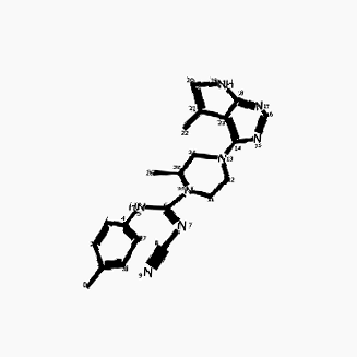 Cc1ccc(N/C(=N\C#N)N2CCN(c3ncnc4[nH]cc(C)c34)C[C@@H]2C)cc1